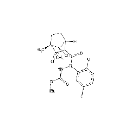 CC(C)(C)OC(=O)NN(C(=O)C1C(=O)[C@]2(C)CC[C@H]1C2(C)C)c1cc(Cl)ccc1Cl